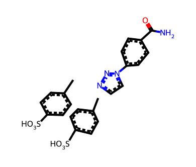 Cc1ccc(S(=O)(=O)O)cc1.Cc1ccc(S(=O)(=O)O)cc1.NC(=O)c1ccc(-n2ccnn2)cc1